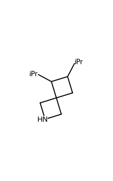 CC(C)C1CC2(CNC2)C1C(C)C